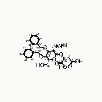 [N-]=[N+]=N[C@H]1[C@@H](O[C@@H](CC(=O)O)C(=O)O)O[C@H](CO)[C@@H](OCc2ccccc2)[C@@H]1OCc1ccccc1